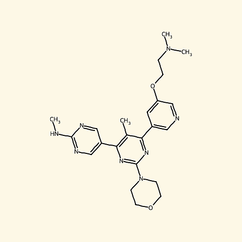 CNc1ncc(-c2nc(N3CCOCC3)nc(-c3cncc(OCCN(C)C)c3)c2C)cn1